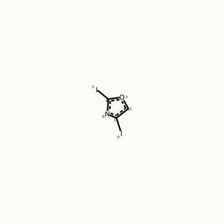 Ic1[c]oc(I)n1